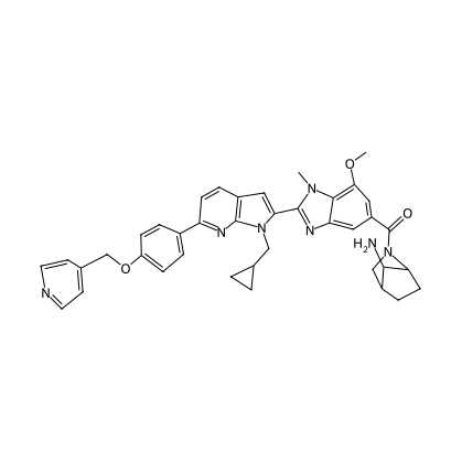 COc1cc(C(=O)N2CC3CCC2C3N)cc2nc(-c3cc4ccc(-c5ccc(OCc6ccncc6)cc5)nc4n3CC3CC3)n(C)c12